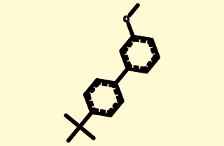 COc1cccc(-c2ccc(C(C)(C)C)cc2)c1